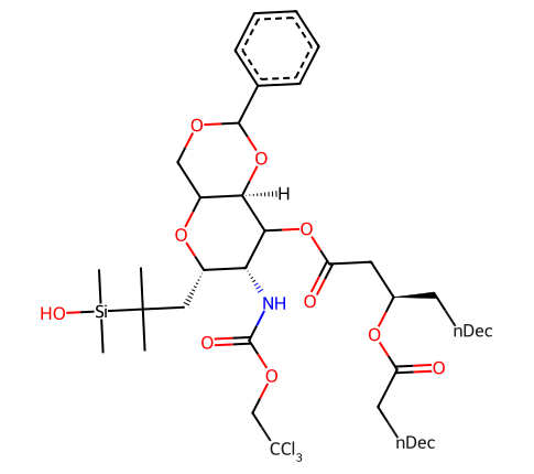 CCCCCCCCCCCC(=O)O[C@H](CCCCCCCCCCC)CC(=O)OC1[C@@H]2OC(c3ccccc3)OCC2O[C@@H](CC(C)(C)[Si](C)(C)O)[C@H]1NC(=O)OCC(Cl)(Cl)Cl